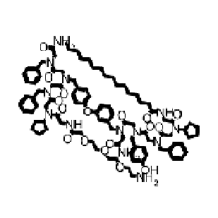 CCCCCCCCCCCCCCCC(=O)NCC(=O)N(CC(=O)N(CC(=O)N(CC(=O)N(CC(N)=O)Cc1cccc(Oc2ccc(CN(CC(=O)N(CC(N)=O)Cc3ccccc3)C(=O)CN(Cc3ccccc3)C(=O)CN(C(=O)CNC(=O)COCCOCCOCCN)C3CCCC3)cc2)c1)Cc1ccc(O)cc1)Cc1ccccc1)C1CCCC1